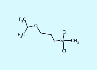 C[Si](Cl)(Cl)CCCOC(C(F)(F)F)C(F)(F)F